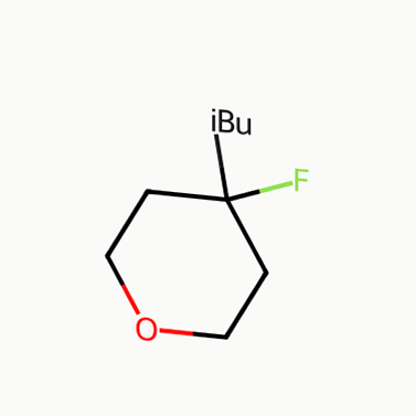 CCC(C)C1(F)CCOCC1